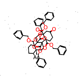 CC(=O)[C@H]1CCCC2(C(=O)OCc3ccccc3)C3(C(=O)OCc4ccccc4)CCC4(C(=O)OCc5ccccc5)CC(=O)CCC4(C(=O)OCc4ccccc4)C3(C(=O)OCc3ccccc3)CC[C@]12C